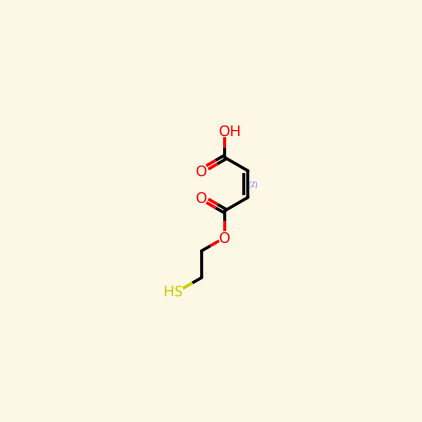 O=C(O)/C=C\C(=O)OCCS